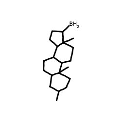 BC1CCC2C3CCC4CC(C)CCC4(C)C3CCC12C